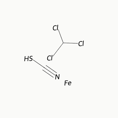 ClC(Cl)Cl.N#CS.[Fe]